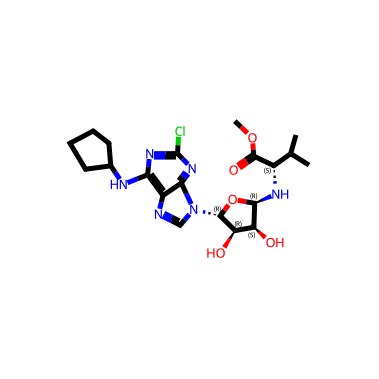 COC(=O)[C@@H](N[C@@H]1O[C@@H](n2cnc3c(NC4CCCC4)nc(Cl)nc32)[C@H](O)[C@@H]1O)C(C)C